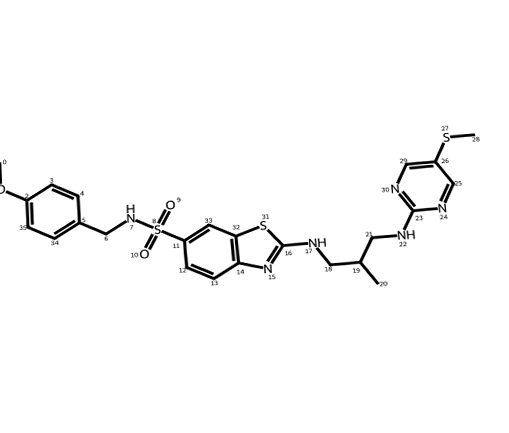 COc1ccc(CNS(=O)(=O)c2ccc3nc(NCC(C)CNc4ncc(SC)cn4)sc3c2)cc1